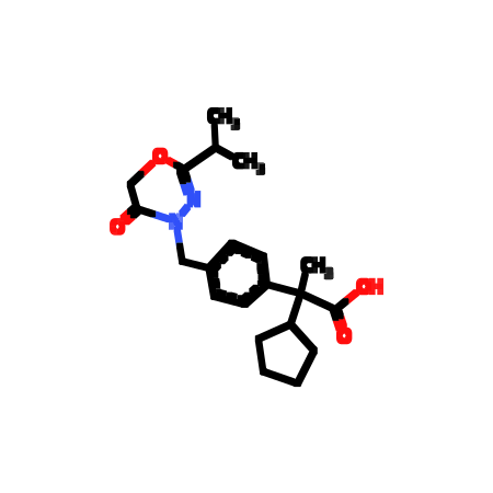 CC(C)C1=NN(Cc2ccc(C(C)(C(=O)O)C3CCCC3)cc2)C(=O)CO1